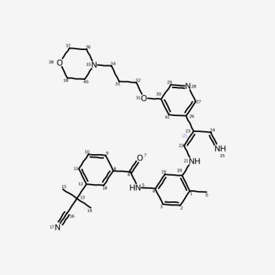 Cc1ccc(NC(=O)c2cccc(C(C)(C)C#N)c2)cc1N/C=C(\C=N)c1cncc(OCCCN2CCOCC2)c1